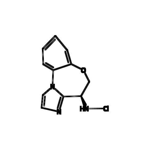 ClN[C@@H]1COc2ccccc2-n2ccnc21